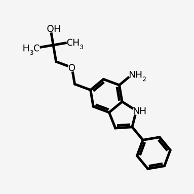 CC(C)(O)COCc1cc(N)c2[nH]c(-c3ccccc3)cc2c1